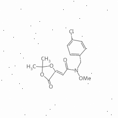 CON(Cc1ccc(Cl)cc1)C(=O)/C=C1\OC(C)(C)OC1=O